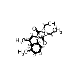 CCOC(=O)S1(C(=O)OCC)C=C(C)c2c(C)cccc21